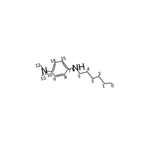 CCCCCCNc1ccc(N(C)C)cc1